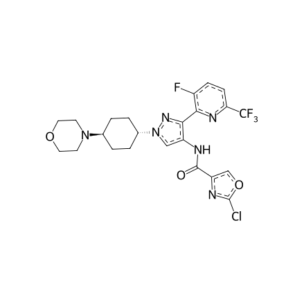 O=C(Nc1cn([C@H]2CC[C@H](N3CCOCC3)CC2)nc1-c1nc(C(F)(F)F)ccc1F)c1coc(Cl)n1